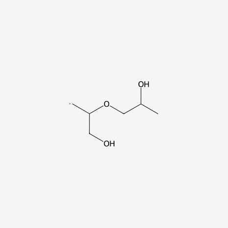 [CH2]C(CO)OCC(C)O